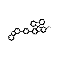 N#Cc1ccc2c(c1)C1(c3ccccc3-c3ccccc31)c1cc(-c3ccc(-c4ccc5oc6ccccc6c5c4)cc3)ccc1-2